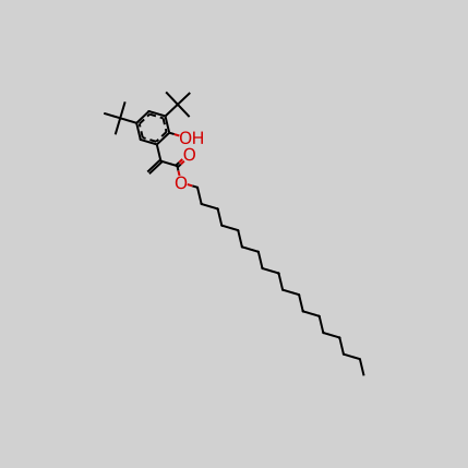 C=C(C(=O)OCCCCCCCCCCCCCCCCCC)c1cc(C(C)(C)C)cc(C(C)(C)C)c1O